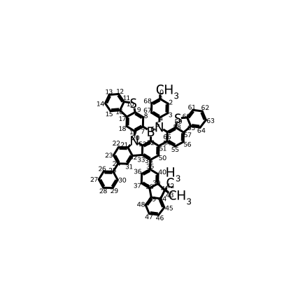 Cc1ccc(N2B3c4cc5sc6ccccc6c5cc4-n4c5ccc(-c6ccccc6)cc5c5c(-c6ccc7c(c6)C(C)(C)c6ccccc6-7)cc(c3c54)-c3ccc4c(sc5ccccc54)c32)cc1